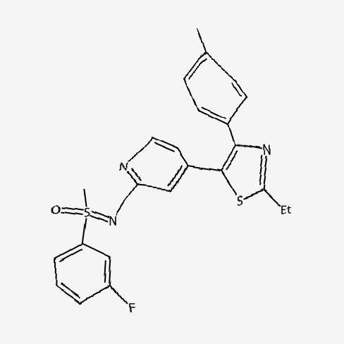 CCc1nc(-c2ccc(C)cc2)c(-c2ccnc(N=S(C)(=O)c3cccc(F)c3)c2)s1